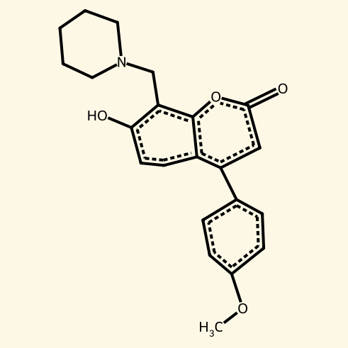 COc1ccc(-c2cc(=O)oc3c(CN4CCCCC4)c(O)ccc23)cc1